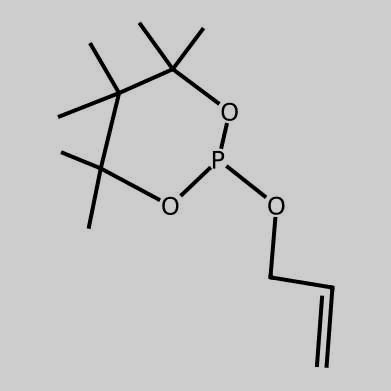 C=CCOP1OC(C)(C)C(C)(C)C(C)(C)O1